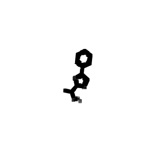 CC(N)c1ncc(-c2ccccc2)o1